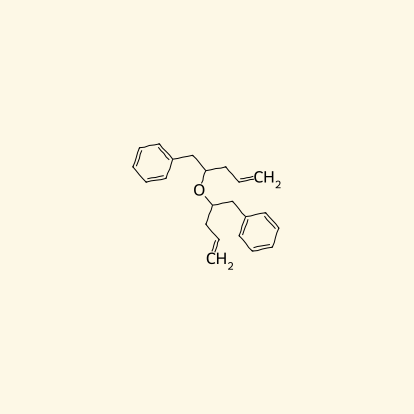 C=CCC(Cc1ccccc1)OC(CC=C)Cc1ccccc1